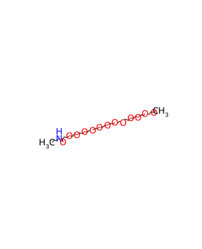 CCCNC(=O)CCOCCOCCOCCOCCOCCOCCOCCOCCOCCOCCOCCOC